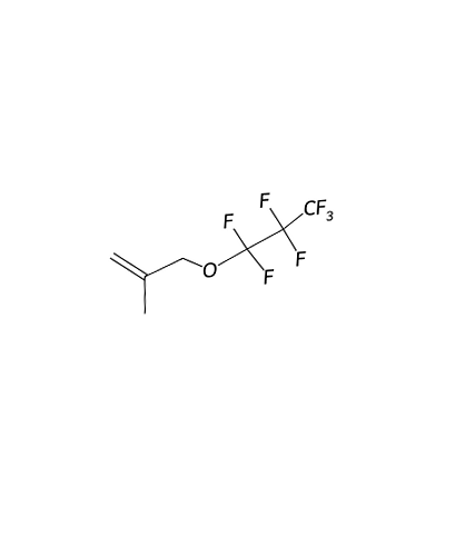 C=C(C)COC(F)(F)C(F)(F)C(F)(F)F